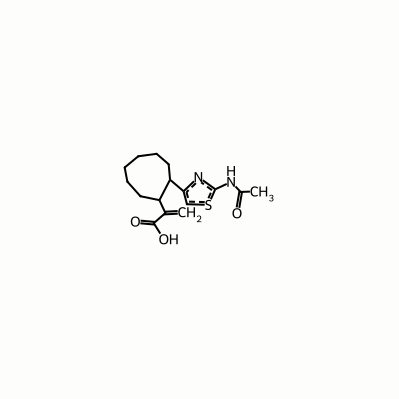 C=C(C(=O)O)C1CCCCCCC1c1csc(NC(C)=O)n1